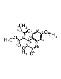 COC(=O)C(C(=O)OC)[C@@H](c1ccc(OC)cc1)C(C)[N+](=O)[O-]